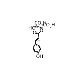 O=C(/C=C/c1ccc(O)cc1)O[C@@H](C(=O)O)[C@H](O)C(=O)O